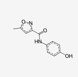 Cc1cc(C(=O)Nc2ccc(O)cc2)no1